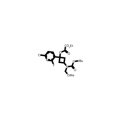 CCOC(=O)C(=O)OC1(c2ccc(Cl)nc2F)CC(N(COC)C(=O)OC(C)(C)C)C1